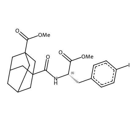 COC(=O)[C@H](Cc1ccc(I)cc1)NC(=O)C12CC3CC(C1)CC(C(=O)OC)(C3)C2